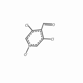 O=Cc1c(Cl)c[n+]([O-])cc1Cl